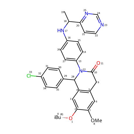 CC[C@@H](C)Oc1cc2c(cc1OC)CC(=O)N(c1ccc(NC(C)c3ccncn3)cc1)C2c1ccc(Cl)cc1